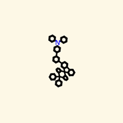 c1ccc(N(c2ccccc2)c2ccc(-c3cccc(-c4ccc5c(c4)C4(c6ccccc6-5)c5ccccc5C(c5ccccc5)(c5ccccc5)c5ccccc54)c3)cc2)cc1